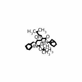 CC(C)CC[C@H](C[C@@H](O)[C@H](Cc1ccccc1)NC(=O)OC(C)(C)C)C(=O)NC1CC2CCC1C2